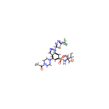 CC(C)C(=O)N1CCN(c2cc(S(=O)(=O)NC3(C#N)COC3C)cc3c2cnn3-c2nnc(C(F)F)s2)CC1